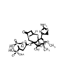 CON=C(c1csc(N)n1)C1(NC(C)=O)S[C@@H]2CC(=O)N2CC1(OC(=O)CC(P(=O)(O)O)P(=O)(O)O)C(=O)O